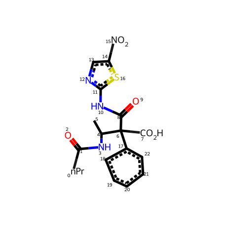 CCCC(=O)NC(C)C(C(=O)O)(C(=O)Nc1ncc([N+](=O)[O-])s1)c1ccccc1